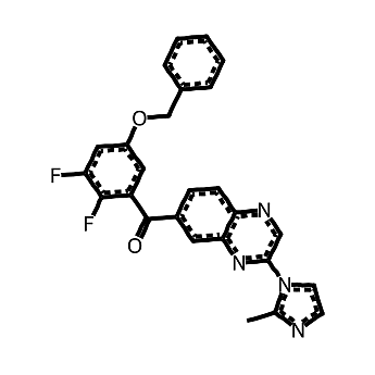 Cc1nccn1-c1cnc2ccc(C(=O)c3cc(OCc4ccccc4)cc(F)c3F)cc2n1